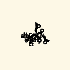 CCOP(=O)(OCC)C(C)(C)CC1(C)C(=O)N(CC2CO2)C(=O)N1CC1CO1